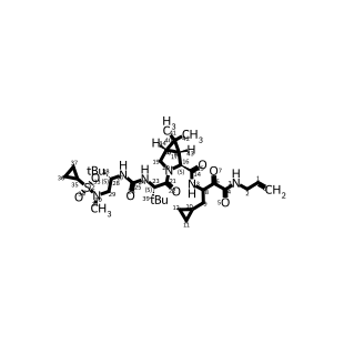 C=CCNC(=O)C(=O)C(CC1CC1)NC(=O)[C@@H]1[C@@H]2[C@H](CN1C(=O)[C@@H](NC(=O)N[C@H](CN(C)S(=O)(=O)C1CC1)C(C)(C)C)C(C)(C)C)C2(C)C